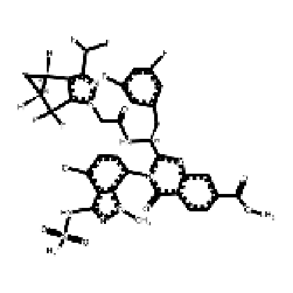 COC(=O)c1ccc2c(=O)n(-c3ccc(Cl)c4c(NS(C)(=O)=O)nn(C)c34)c([C@H](Cc3cc(F)cc(F)c3)NC(=O)Cn3nc(C(F)F)c4c3C(F)(F)[C@@H]3C[C@H]43)nc2c1